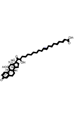 C[C@]12C=CC(=O)C=C1CC[C@@H]1[C@@H]2[C@@H](O)C[C@@]2(C)[C@H]1CC[C@]2(O)C(=O)C(O)CCCCCCCC/C=C/CCCCCCCC(=O)O